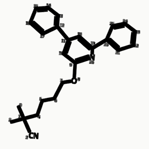 CC(C)(C#N)CCCCOc1cc(-c2ccccc2)cc(-c2ccccc2)n1